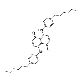 CCCCCCc1ccc(NC2=C3C(=O)C=CC(Nc4ccc(CCCCCC)cc4)=C3C(=O)C=C2)cc1